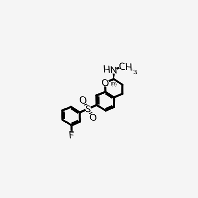 CN[C@H]1CCc2ccc(S(=O)(=O)c3cccc(F)c3)cc2O1